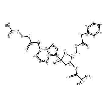 CC(C)[C@H](N)C(=O)O[C@H]1C[C@](C#N)(c2ccc3c(NC(=O)OCOC(=O)C(C)(C)C)ncnn23)O[C@@H]1COC(=O)Cc1ccccc1